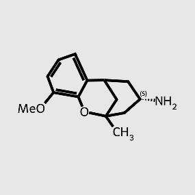 COc1cccc2c1OC1(C)CC2C[C@H](N)C1